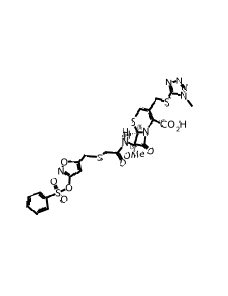 CO[C@@]1(NC(=O)CSCc2cc(OS(=O)(=O)c3ccccc3)no2)C(=O)N2C(C(=O)O)=C(CSc3nnnn3C)CS[C@@H]21